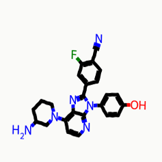 N#Cc1ccc(-c2nc3c(N4CCCC(N)C4)ccnc3n2-c2ccc(O)cc2)cc1F